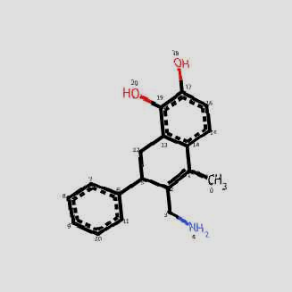 CC1=C(CN)C(c2ccccc2)Cc2c1ccc(O)c2O